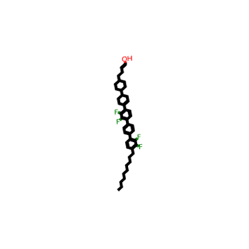 CCCCCCCCCCc1ccc(-c2ccc(-c3ccc(C4=CCC(C5CCC(CC/C=C/O)CC5)CC4)c(F)c3F)cc2)c(F)c1F